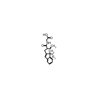 C=CC(CC1=Cc2ccccc2C1(C)C)C(=O)NCC(=O)O